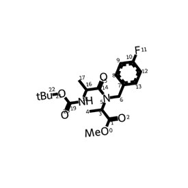 COC(=O)C(C)N(Cc1ccc(F)cc1)C(=O)C(C)NC(=O)OC(C)(C)C